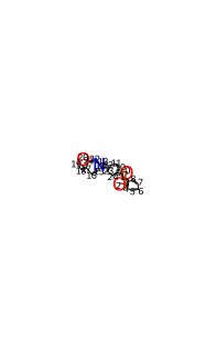 O=S(=O)(c1ccccc1)c1ccc(CN2C=CC3=CCOC3=C2)cc1